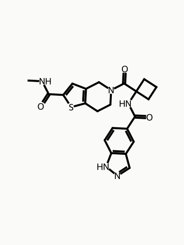 CNC(=O)c1cc2c(s1)CCN(C(=O)C1(NC(=O)c3ccc4[nH]ncc4c3)CCC1)C2